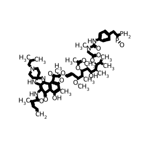 C=C/C=C(/C)C(=O)NC1=C2NC3(CCN(CC(C)C)CC3)N=C2c2c(c(O)c(C)c3c2C(=O)[C@@](C)(O/C=C/[C@H](OC)[C@@H](C)[C@@H](OC(C)=O)[C@H](C)[C@H](O)[C@H](C)[C@@H](OC(=O)CN(C)C(=O)Nc2ccc(CC(P)P=O)cc2)C(C)C)O3)C1=O